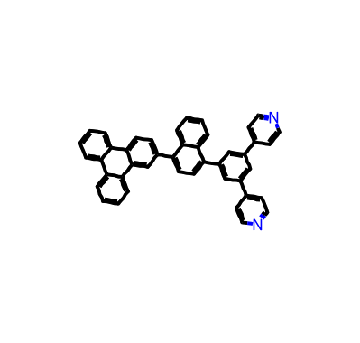 c1ccc2c(-c3ccc4c5ccccc5c5ccccc5c4c3)ccc(-c3cc(-c4ccncc4)cc(-c4ccncc4)c3)c2c1